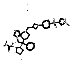 CN(C)C(=O)N[C@H]1CCC[C@@H]1C(Cn1ccnc1)(c1ccccc1)C1CCN(CC2CN(c3ccc(S(=O)(=O)c4cnn(C)c4)cc3)C2)CC1